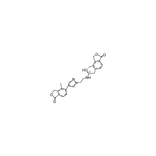 Cc1c(C[C@H](O)NCCn2cc(-c3ccc4c(c3C)COC4=O)cn2)ccc2c1COC2=O